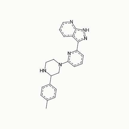 Cc1ccc(C2CN(c3cccc(-c4n[nH]c5ncccc45)n3)CCN2)cc1